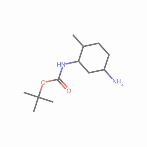 CC1CCC(N)CC1NC(=O)OC(C)(C)C